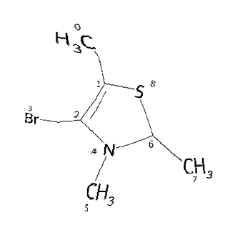 CC1=C(Br)N(C)C(C)S1